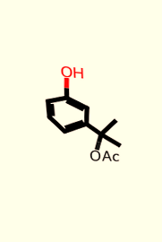 CC(=O)OC(C)(C)c1cccc(O)c1